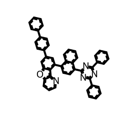 c1ccc(-c2ccc(-c3cc(-c4ccc(-c5nc(-c6ccccc6)nc(-c6ccccc6)n5)c5ccccc45)c4c(c3)oc3cccnc34)cc2)cc1